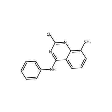 Cc1cccc2c(Nc3ccccc3)nc(Cl)nc12